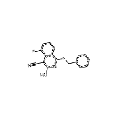 N#Cc1c(O)nc(SCc2ccccc2)c2cccc(F)c12